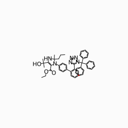 CCCC1(C)NC(C(C)(C)O)=C(C(=O)OCC)N1c1ccc(-c2ccccc2-c2nnnn2C(c2ccccc2)(c2ccccc2)c2ccccc2)cc1